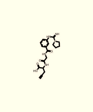 C#CCC(NC(=O)CNC(=O)c1cccc(NC(=N)N2CCCC2)c1)C(=O)O